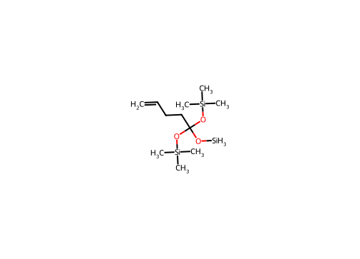 C=CCCC(O[SiH3])(O[Si](C)(C)C)O[Si](C)(C)C